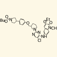 CCOc1cc2cc(Nc3nc(N4CCCC(COc5ccc(C6CCN(C(=O)OC(C)(C)C)CC6)cc5)C4)ncc3Cl)ccc2n(C)c1=O